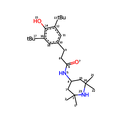 CC1(C)CC(NC(=O)CCc2cc(C(C)(C)C)c(O)c(C(C)(C)C)c2)CC(C)(C)N1